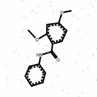 COc1ccc(C(=O)Nc2ccccc2)c(OC)c1